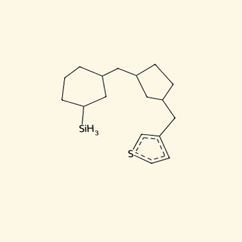 [SiH3]C1CCCC(CC2CCC(Cc3ccsc3)C2)C1